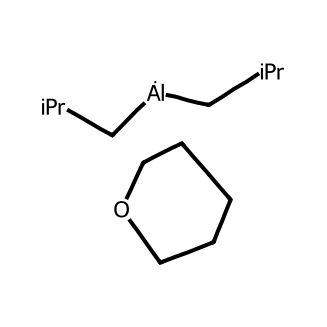 C1CCOCC1.CC(C)[CH2][Al][CH2]C(C)C